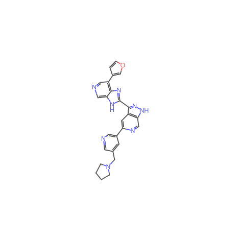 c1cc(-c2cncc3[nH]c(-c4n[nH]c5cnc(-c6cncc(CN7CCCC7)c6)cc45)nc23)co1